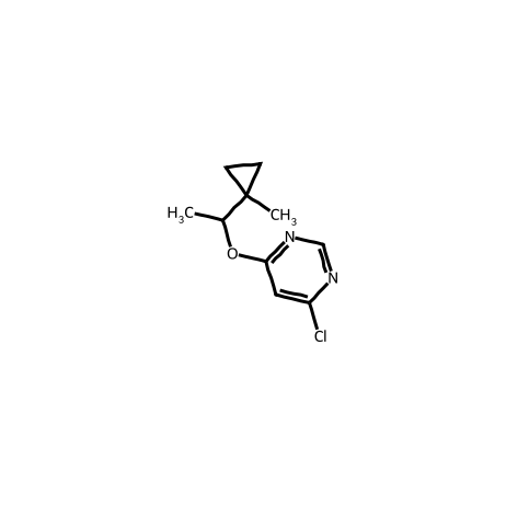 CC(Oc1cc(Cl)ncn1)C1(C)CC1